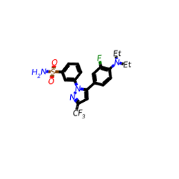 CCN(CC)c1ccc(-c2cc(C(F)(F)F)nn2-c2cccc(S(N)(=O)=O)c2)cc1F